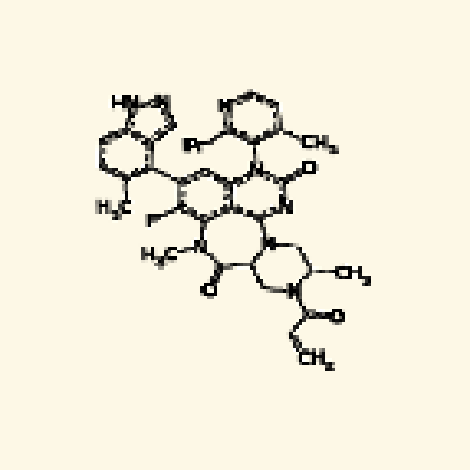 C=CC(=O)N1CC2C(=O)N(C)c3c(F)c(-c4c(C)ccc5[nH]ncc45)cc4c3c(nc(=O)n4-c3c(C)ccnc3C(C)C)N2CC1C